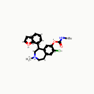 CCCCNC(=O)Oc1cc2c(cc1Cl)CCN(C)CC2c1cccc2ccoc12